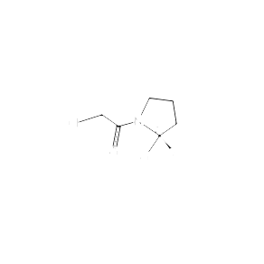 C[C@]1(O)CCCN1C(=O)CCl